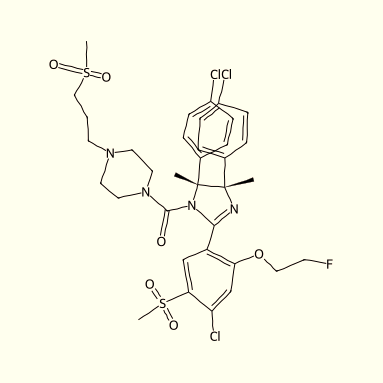 C[C@@]1(c2ccc(Cl)cc2)N=C(c2cc(S(C)(=O)=O)c(Cl)cc2OCCF)N(C(=O)N2CCN(CCCS(C)(=O)=O)CC2)[C@]1(C)c1ccc(Cl)cc1